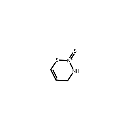 S=[N+]1NCC=CS1